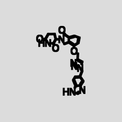 O=C1CCC(N2Cc3c(OCc4cn(Cc5ccc6[nH]cnc6c5)nn4)cccc3C2=O)C(=O)N1